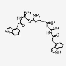 N=C(CCCCC(N)SC(=N)NC(=O)Cc1cccc2[nH]ccc12)SC(=N)NC(=O)Cc1cccc2[nH]ccc12